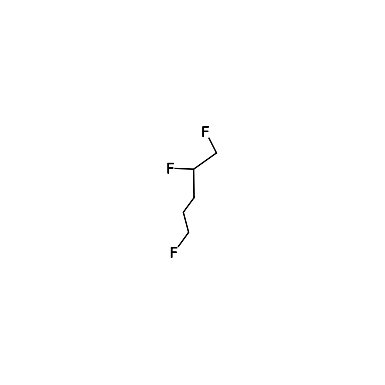 FCCCC(F)CF